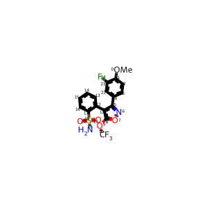 COc1ccc(-c2noc(OC(F)(F)F)c2-c2ccccc2S(N)(=O)=O)cc1F